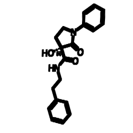 O=C(NCCc1ccccc1)[C@@]1(O)CCN(c2ccccc2)C1=O